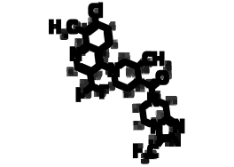 Cc1c(Cl)ccc2c(N3CC[C@H](C(=O)N4CCn5c(nnc5C(F)(F)F)C4)[C@H](C)C3)c(C(F)F)cnc12